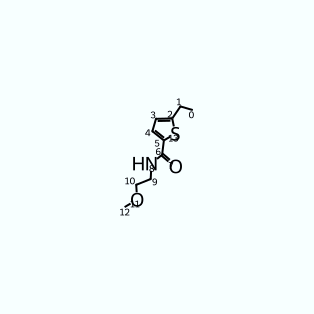 CCc1ccc(C(=O)NCCOC)s1